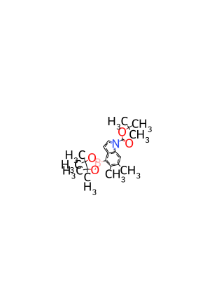 Cc1cc2c(ccn2C(=O)OC(C)(C)C)c(B2OC(C)(C)C(C)(C)O2)c1C